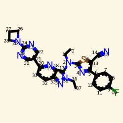 CCN(c1nc(-c2ccc(F)cc2)c(C#N)s1)c1c2nc(-c3cnc(N4C[CH]C4)nc3)ccc2nn1CC